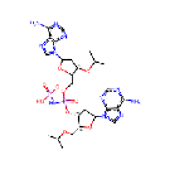 CC(C)OC[C@H]1OC(n2cnc3c(N)ncnc32)C[C@H]1OP(=O)(NP(=O)(O)O)OCC1OC(n2cnc3c(N)ncnc32)C[C@H]1OC(C)C